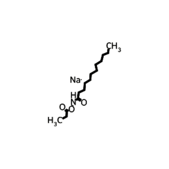 CCCCCCCCCCCC(=O)NOC(=O)CC.[Na]